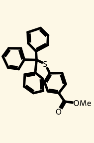 COC(=O)c1ccc(SC(c2ccccc2)(c2ccccc2)c2ccccc2)cc1